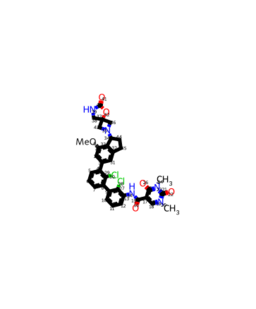 COc1cc(-c2cccc(-c3cccc(NC(=O)c4cn(C)c(=O)n(C)c4=O)c3Cl)c2Cl)cc2c1C(N1CC3(CNC(=O)O3)C1)CC2